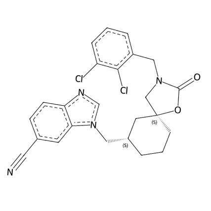 N#Cc1ccc2ncn(C[C@H]3CCC[C@]4(C3)CN(Cc3cccc(Cl)c3Cl)C(=O)O4)c2c1